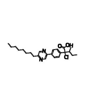 CCCCCCCCc1cnc(-c2ccc(C(Cl)(C(=O)O)C(C)CC)cc2)cn1